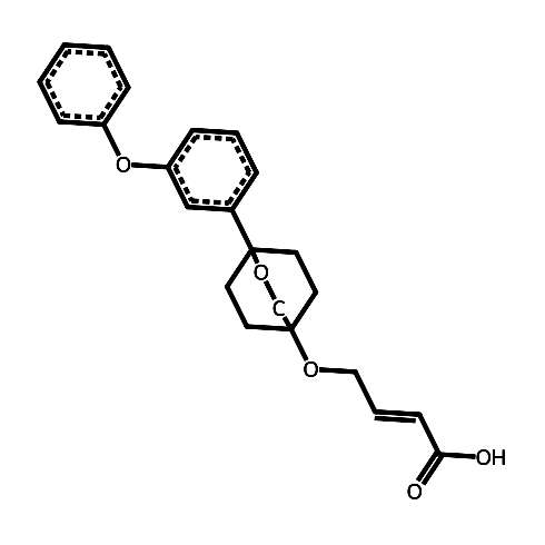 O=C(O)/C=C/COC12CCC(c3cccc(Oc4ccccc4)c3)(CC1)OC2